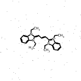 CCN1C(=C/C=C/c2n(CC)c3ccccc3[n+]2CC)N(CC)c2ccccc21